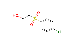 O=S(=O)(CCO)c1ccc(Cl)cc1